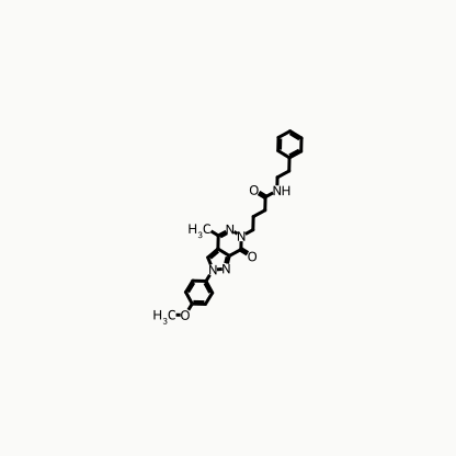 COc1ccc(-n2cc3c(C)nn(CCCC(=O)NCCc4ccccc4)c(=O)c3n2)cc1